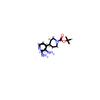 CC(C)(C)OC(=O)N1CCC(c2ccnc(N)c2N)CC1